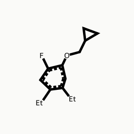 CCc1cc(F)c(OCC2CC2)cc1CC